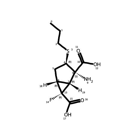 CCCS[C@@H]1C[C@@H]2[C@H]([C@]1(N)C(=O)O)[C@@]2(F)C(=O)O